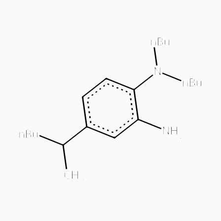 C[CH]CCC(C)c1ccc(N(CCCC)CCCC)c(N)c1